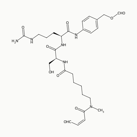 CN(CCCCCC(=O)N[C@@H](CO)C(=O)N[C@@H](CCCNC(N)=O)C(=O)Nc1ccc(COC=O)cc1)C(=O)/C=C\C=O